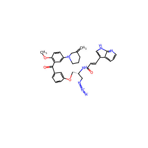 C=C1CCCN(c2ccc(OC)c(C(=O)c3cccc(OC[C@@H](CN=[N+]=[N-])NC(=O)/C=C/c4c[nH]c5ncccc45)c3)c2)C1